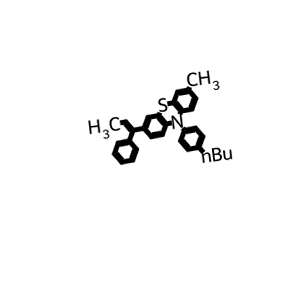 CC=C(c1ccccc1)c1ccc2c(c1)Sc1cc(C)ccc1N2c1ccc(CCCC)cc1